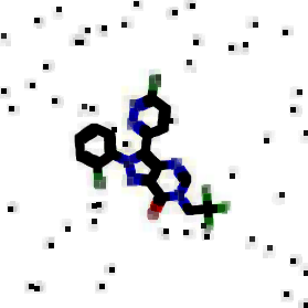 O=c1c2nn(-c3ccccc3Cl)c(-c3ccc(Cl)nn3)c2ncn1CC(F)(F)F